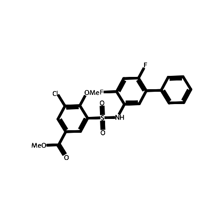 COC(=O)c1cc(Cl)c(OC)c(S(=O)(=O)Nc2cc(-c3ccccc3)c(F)cc2F)c1